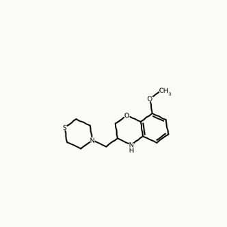 COc1cccc2c1OCC(CN1CCSCC1)N2